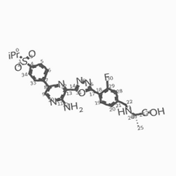 CC(C)S(=O)(=O)c1ccc(-c2cnc(N)c(-c3nnc(-c4ccc(CN[C@@H](C)CO)cc4F)o3)n2)cc1